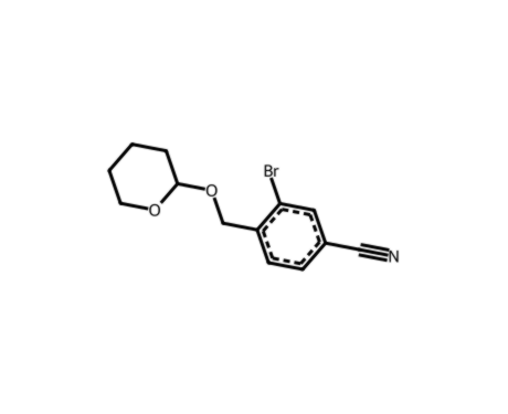 N#Cc1ccc(COC2CCCCO2)c(Br)c1